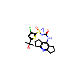 CC(C)(O)c1cc(Cl)c([S@@](N)(=O)=NC(=O)Nc2c3c(nc4c2CCC4)CCC3)s1